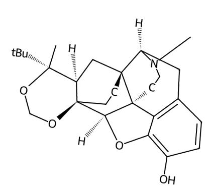 CN1CC[C@]23c4c5ccc(O)c4O[C@H]2[C@@]24CC[C@@]3(C[C@@H]2[C@@](C)(C(C)(C)C)OCO4)[C@H]1C5